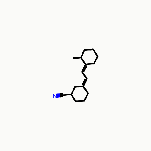 CC1CCCC/C1=C\C=C1\CCCC(C#N)C1